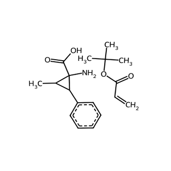 C=CC(=O)OC(C)(C)C.CC1C(c2ccccc2)C1(N)C(=O)O